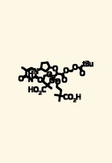 Cc1cn(C2CCC(OC(C(=O)OCOC(=O)C(C)(C)C)P(=O)(OCCC(C)(C)C(=O)O)OCCC(C)(C)C(=O)O)C2)c(=O)[nH]c1=O